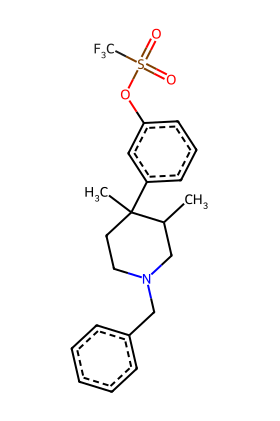 CC1CN(Cc2ccccc2)CCC1(C)c1cccc(OS(=O)(=O)C(F)(F)F)c1